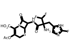 CC(=O)OC1=C(C(=O)O)N2C(=O)C(NC(=O)C(N)(Cc3cnc(F)[nH]3)C(F)F)C2SC1